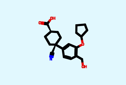 N#C[C@]1(c2ccc(CO)c(OC3CCCC3)c2)CC[C@H](C(=O)O)CC1